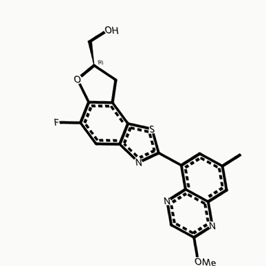 COc1cnc2c(-c3nc4cc(F)c5c(c4s3)C[C@H](CO)O5)cc(C)cc2n1